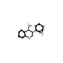 O[C@@H]1c2ccccc2OC[C@@H]1c1cccc2c1O2